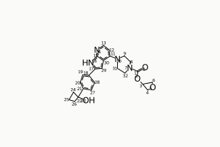 O=C(OC1COC1)N1CCN(c2ccnc3[nH]c(-c4ccc(C5(O)CCC5)cc4)cc23)CC1